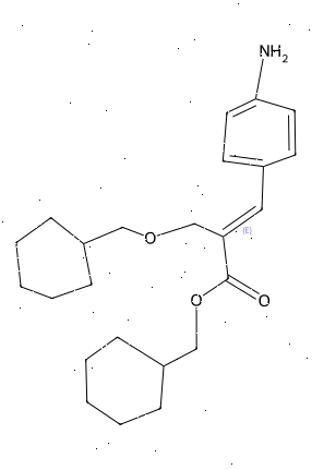 Nc1ccc(/C=C(\COCC2CCCCC2)C(=O)OCC2CCCCC2)cc1